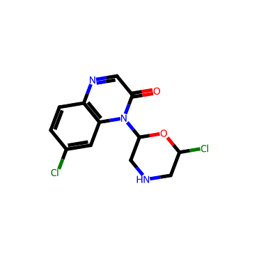 O=c1cnc2ccc(Cl)cc2n1C1CNCC(Cl)O1